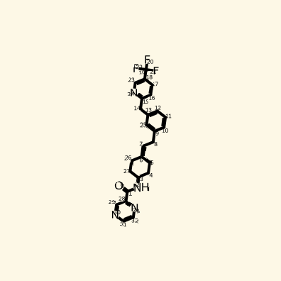 O=C(NC1CCC(=CCc2cccc(Cc3ccc(C(F)(F)F)cn3)c2)CC1)c1cnccn1